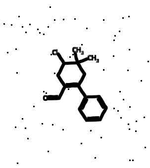 CC1(C)CC(c2ccccc2)=C(C=O)CC1Cl